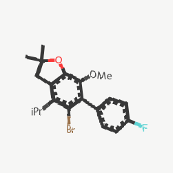 COc1c2c(c(C(C)C)c(Br)c1-c1ccc(F)cc1)CC(C)(C)O2